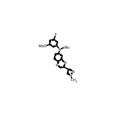 CCCCN(c1cc(F)cc(OC)c1)c1ccc2ncc(-c3cnn(C)c3)nc2c1